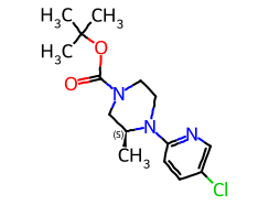 C[C@H]1CN(C(=O)OC(C)(C)C)CCN1c1ccc(Cl)cn1